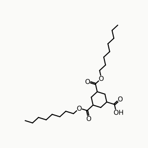 CCCCCCCCOC(=O)C1CC(C(=O)O)CC(C(=O)OCCCCCCCC)C1